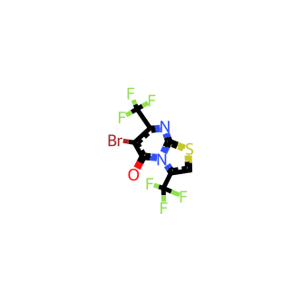 O=c1c(Br)c(C(F)(F)F)nc2scc(C(F)(F)F)n12